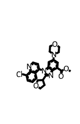 COC(=O)c1cc(N2CCOCC2)cc2c1nc(C1CCOC1)n2-c1ccnc2c(Cl)cccc12